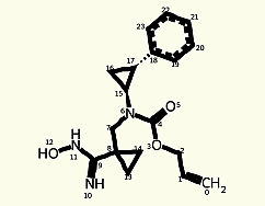 C=CCOC(=O)N(CC1(C(=N)NO)CC1)[C@H]1C[C@@H]1c1ccccc1